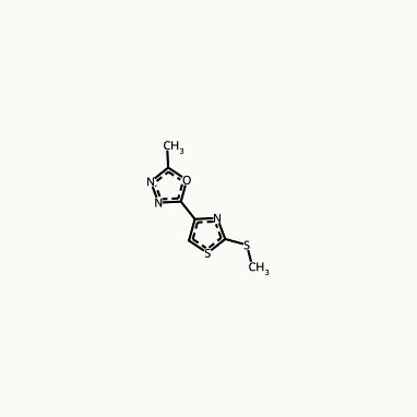 CSc1nc(-c2nnc(C)o2)cs1